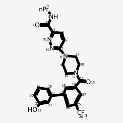 CCCNC(=O)c1ccc(N2CCN(C(=O)c3cc(-c4cccc(O)c4)cc(C(F)(F)F)c3)CC2)nn1